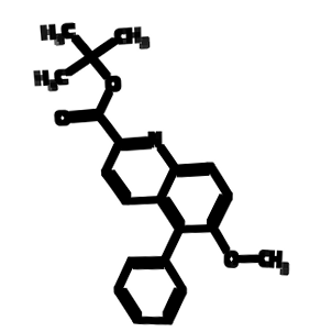 COc1ccc2nc(C(=O)OC(C)(C)C)ccc2c1-c1ccccc1